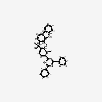 CC1C(c2nc(-c3ccccc3)nc(-c3ccccc3)n2)=CC=C2C1Oc1c(ccc3c1sc1ccccc13)C2(C)C